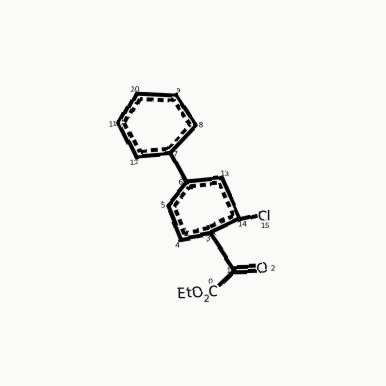 CCOC(=O)C(=O)c1ccc(-c2ccccc2)cc1Cl